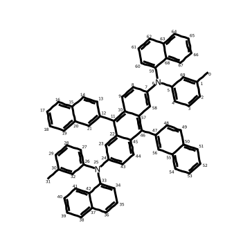 Cc1cccc(N(c2ccc3c(-c4ccc5ccccc5c4)c4cc(N(c5cccc(C)c5)c5cccc6ccccc56)ccc4c(-c4ccc5ccccc5c4)c3c2)c2cccc3ccccc23)c1